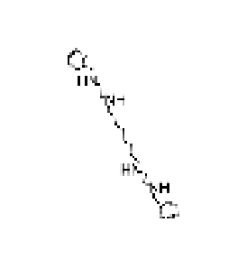 c1ccc(CNCCNCCCCCCCCNCCNCc2ccccc2)cc1